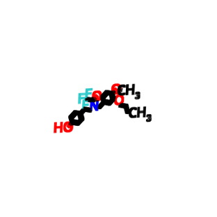 CCCCOc1cc(CN(CCc2ccc(O)cc2)C(=O)C(F)(F)F)ccc1OC